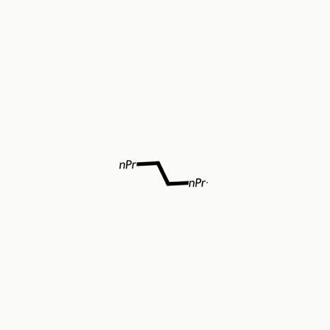 [CH2]C[CH]CCCCC